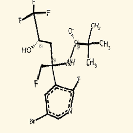 CC(C)(C)[S@@+]([O-])N[C@@](CF)(C[C@H](O)C(F)(F)F)c1cc(Br)cnc1F